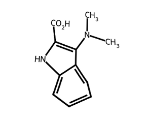 CN(C)c1c(C(=O)O)[nH]c2ccccc12